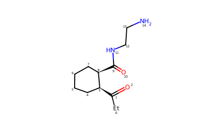 CCC(=O)[C@H]1CCCC[C@H]1C(=O)NCCN